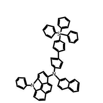 c1ccc(-n2c3cccc4ccc5c(N(c6ccc(-c7ccc([Si](c8ccccc8)(c8ccccc8)c8ccccc8)cc7)cc6)c6ccc7ccccc7c6)ccc2c5c43)cc1